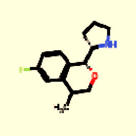 CC1CO[C@@H]([C@@H]2CCCN2)c2ccc(F)cc21